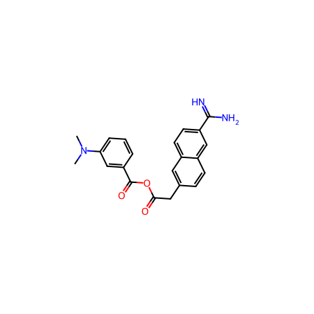 CN(C)c1cccc(C(=O)OC(=O)Cc2ccc3cc(C(=N)N)ccc3c2)c1